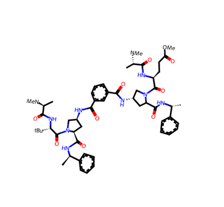 CN[C@@H](C)C(=O)N[C@@H](CCC(=O)OC)C(=O)N1C[C@@H](NC(=O)c2cccc(C(=O)N[C@H]3C[C@@H](C(=O)N[C@H](C)c4ccccc4)N(C(=O)[C@@H](NC(=O)[C@H](C)NC)C(C)(C)C)C3)c2)CC1C(=O)N[C@H](C)c1ccccc1